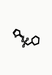 O=S(=O)(CC1CCCCC1)O/N=C1/CC=CS1